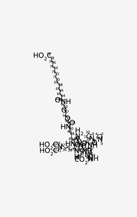 CN1CCC[C@H]1C(=O)N1CCC[C@H]1C(=O)N[C@@H](Cc1c[nH]cn1)C(=O)N[C@@H](CCC(=O)O)C(=O)N[C@@H](CCCCN(CC(=O)O)CC(=O)O)C(=O)N[C@@H](CCCCNC(=O)COCCOCCNC(=O)CCCCCCCCCCCCCCCC(=O)O)C(N)=O